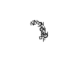 CN1CCN(Cc2cnc(-c3ccc(NCC4(c5ncccc5F)CCC4)nn3)s2)CC1